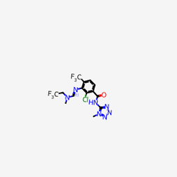 CN(/C=N/c1c(C(F)(F)F)ccc(C(=O)Nc2nnnn2C)c1Cl)CC(F)(F)F